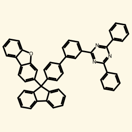 c1ccc(-c2nc(-c3ccccc3)nc(-c3cccc(-c4ccc(C5(c6ccc7c(c6)oc6ccccc67)c6ccccc6-c6ccccc65)cc4)c3)n2)cc1